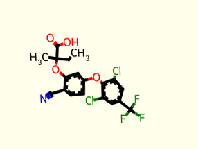 CCC(C)(Oc1cc(Oc2c(Cl)cc(C(F)(F)F)cc2Cl)ccc1C#N)C(=O)O